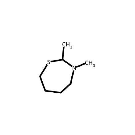 CC1SCCCCN1C